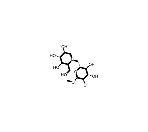 CO[C@H]1O[C@H](CN2C[C@H](O)[C@@H](O)[C@H](O)C2CO)[C@@H](O)[C@H](O)[C@H]1O